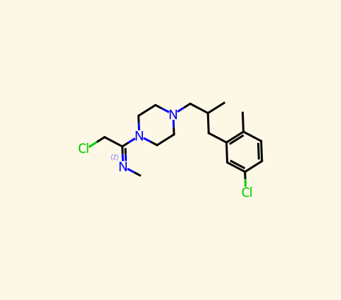 C/N=C(/CCl)N1CCN(CC(C)Cc2cc(Cl)ccc2C)CC1